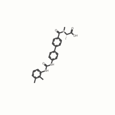 Cc1cccc(NC(=O)Nc2ccc(-c3ccc(C(=O)N(C)[C@@H](C)C(=O)O)cc3)cc2)c1C